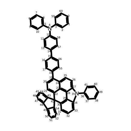 c1ccc(N(c2ccccc2)c2ccc(-c3ccc(-c4ccc5c6c4ccc4c6c6c(cccc6n4-c4ccccc4)C54c5ccccc5-c5ccccc54)cc3)cc2)cc1